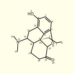 CCC[C@@]12c3c4ccc(O)c3CC(N(C)C)C1CCC(=O)C2O4